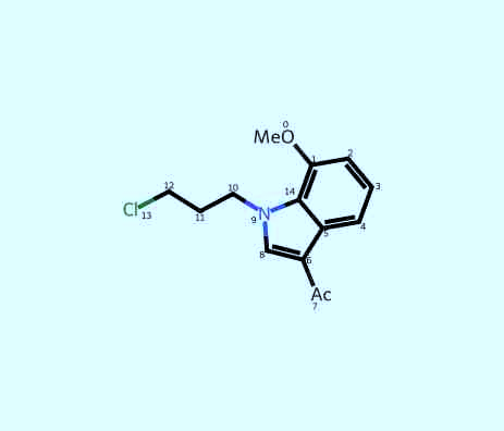 COc1cccc2c(C(C)=O)cn(CCCCl)c12